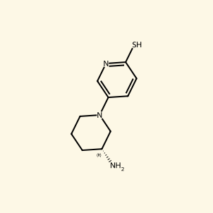 N[C@@H]1CCCN(c2ccc(S)nc2)C1